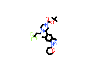 Cc1cc2c(cnn2C2CCCCO2)cc1C1CN(C(=O)OC(C)(C)C)CCN1CCC(F)(F)F